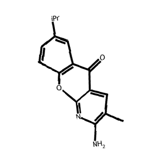 Cc1cc2c(=O)c3cc(C(C)C)ccc3oc2nc1N